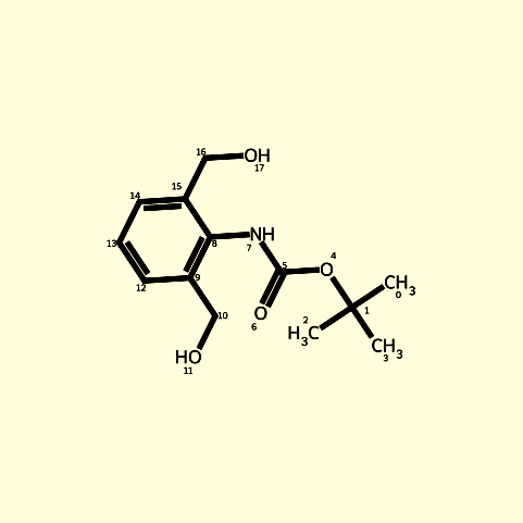 CC(C)(C)OC(=O)Nc1c(CO)cccc1CO